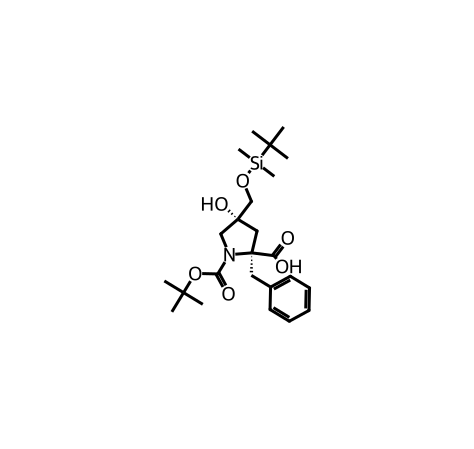 CC(C)(C)OC(=O)N1C[C@@](O)(CO[Si](C)(C)C(C)(C)C)C[C@@]1(Cc1ccccc1)C(=O)O